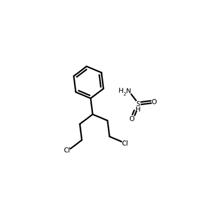 ClCCC(CCCl)c1ccccc1.N[SH](=O)=O